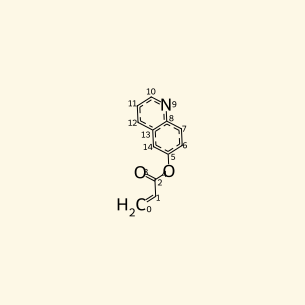 C=CC(=O)Oc1ccc2ncccc2c1